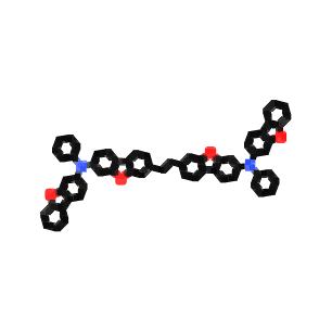 C(=C\c1ccc2c(c1)oc1cc(N(c3ccccc3)c3ccc4c(c3)oc3ccccc34)ccc12)/c1ccc2c(c1)oc1cc(N(c3ccccc3)c3ccc4c(c3)oc3ccccc34)ccc12